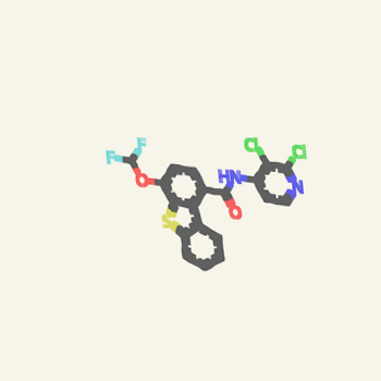 O=C(Nc1ccnc(Cl)c1Cl)c1ccc(OC(F)F)c2sc3ccccc3c12